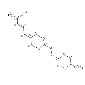 CC1CCC(CCC2CCC(C/C=C/C(=O)O)CC2)CC1